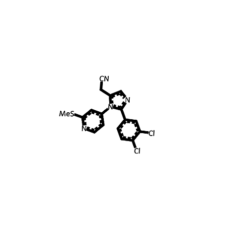 CSc1cc(-n2c(CC#N)cnc2-c2ccc(Cl)c(Cl)c2)ccn1